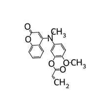 C=CC(=O)Oc1cc(N(C)c2cc(=O)oc3ccccc23)ccc1OC